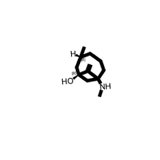 C=C1C2(NC)CCC[C@@H](C)C[C@@]1(O)C2